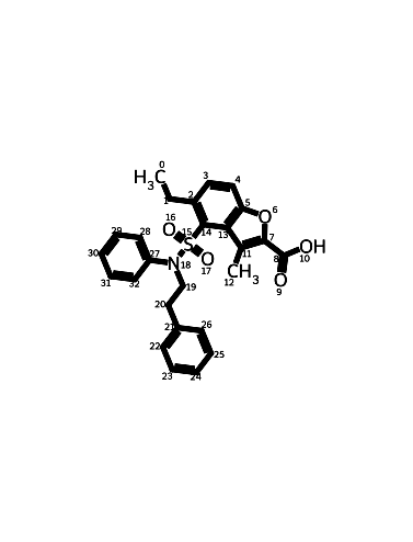 CCc1ccc2oc(C(=O)O)c(C)c2c1S(=O)(=O)N(CCc1ccccc1)c1ccccc1